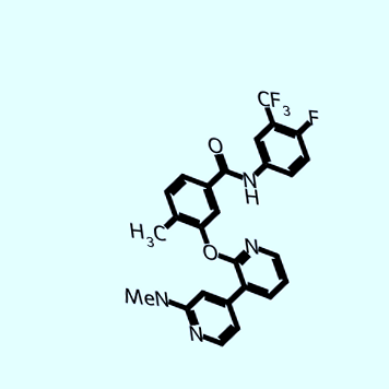 CNc1cc(-c2cccnc2Oc2cc(C(=O)Nc3ccc(F)c(C(F)(F)F)c3)ccc2C)ccn1